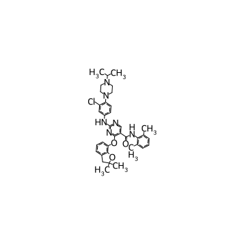 Cc1cccc(C)c1NC(=O)c1cnc(Nc2ccc(N3CCN(C(C)C)CC3)c(Cl)c2)nc1Oc1cccc2c1OC(C)(C)C2